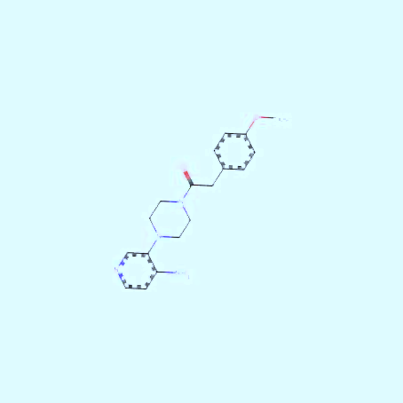 CCCCOc1ccc(CC(=O)N2CCN(c3cnccc3N)CC2)cc1